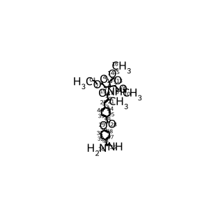 CCOC(=O)CC(CCOC)(CC(=O)OCC)NC(=O)/C(C)=C/c1ccc(C(=O)Oc2ccc(C(=N)N)cc2)cc1